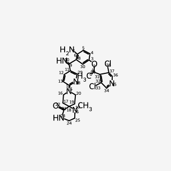 C[C@@H](Oc1ccc(N)c(C(=N)c2ccc(N3CCC4(CC3)C(=O)NCCN4C)nc2)c1)c1c(Cl)cncc1Cl